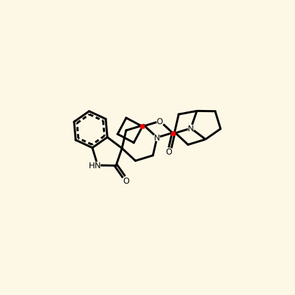 O=C(OC1CCC1)N1C2CCC1CC(N1CCC3(CC1)C(=O)Nc1ccccc13)C2